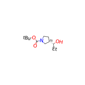 CCC(O)[C@H]1CCN(C(=O)OC(C)(C)C)C1